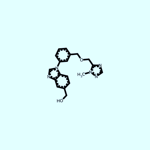 Cn1ncnc1COCc1cccc(-n2cnc3cc(CO)ccc32)c1